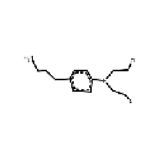 NCCCc1ccc(N(CCCl)CCCl)cc1